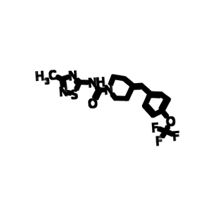 Cc1nsc(NC(=O)N2CCC(=Cc3ccc(OC(F)(F)F)cc3)CC2)n1